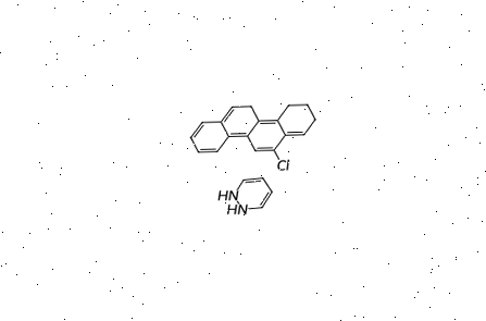 C1=CNNC=C1.Clc1cc2c(c3c1=CCCC3)CC=c1ccccc1=2